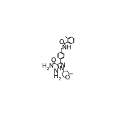 Cc1ccccc1C(=O)NCc1ccc(-c2nn(C3CCOC(C)C3)c(N)c2C(N)=O)cc1